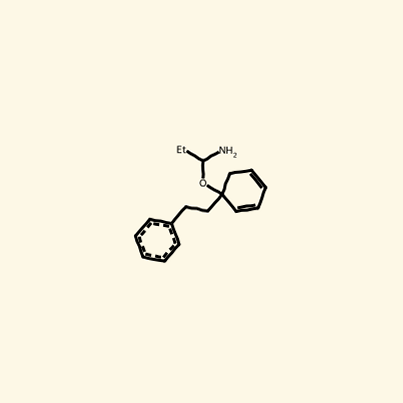 CCC(N)OC1(CCc2ccccc2)C=CC=CC1